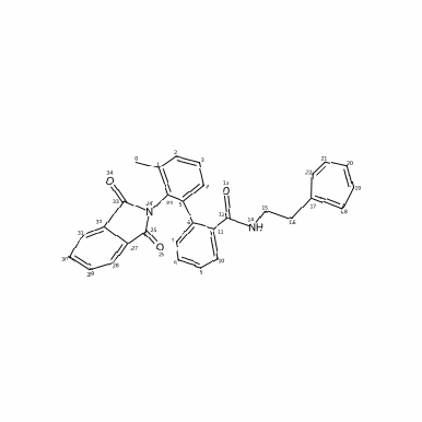 Cc1cccc(-c2ccccc2C(=O)NCCc2ccccc2)c1N1C(=O)c2ccccc2C1=O